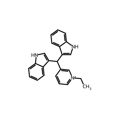 CC[n+]1cccc(C(c2c[nH]c3ccccc23)c2c[nH]c3ccccc23)c1